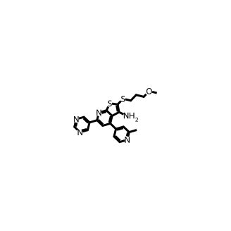 COCCCSc1sc2nc(-c3cncnc3)cc(-c3ccnc(C)c3)c2c1N